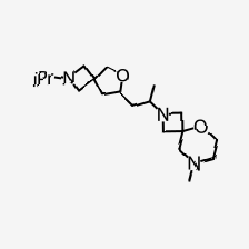 CC(C)N1CC2(COC(CC(C)N3CC4(CN(C)CCO4)C3)C2)C1